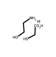 I.NCCO.O=C(O)CS